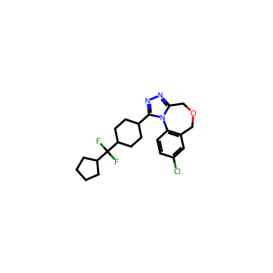 FC(F)(C1CCCC1)C1CCC(c2nnc3n2-c2ccc(Cl)cc2COC3)CC1